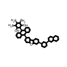 Bc1c(B)c(O)c(-c2c3ccccc3c(-c3ccc4oc5cc(-c6cccc(-c7ccc8ccccc8c7)c6)ccc5c4c3)c3ccccc23)c(O)c1B